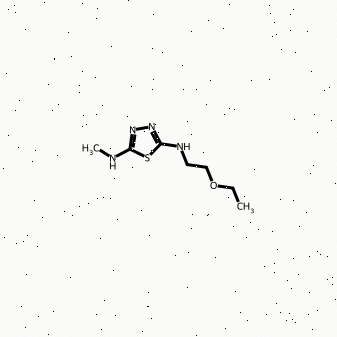 CCOCCNc1nnc(NC)s1